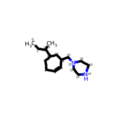 CCC(C)C1CCC=CC(CN2CCNCC2)C1